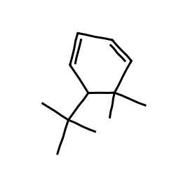 CC(C)(C)C1C=CC=CC1(C)C